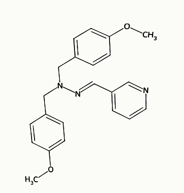 COc1ccc(CN(Cc2ccc(OC)cc2)N=Cc2cccnc2)cc1